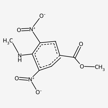 CNc1c([N+](=O)[O-])cc(C(=O)OC)cc1[N+](=O)[O-]